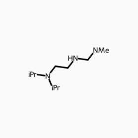 CNCNCCN(C(C)C)C(C)C